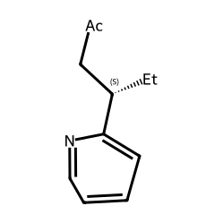 CC[C@@H](CC(C)=O)c1ccccn1